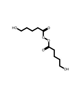 O=C(CCCCO)OOC(=O)CCCCO